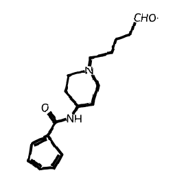 O=[C]CCCCN1CCC(NC(=O)c2ccccc2)CC1